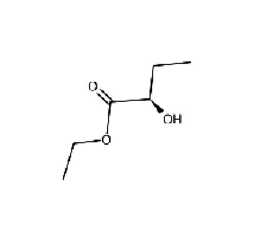 CCOC(=O)[C@H](O)CC